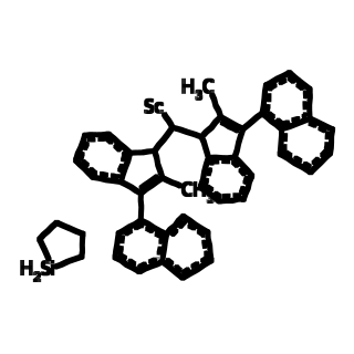 C1CC[SiH2]C1.CC1=C(c2cccc3ccccc23)c2ccccc2C1[CH]([Sc])C1C(C)=C(c2cccc3ccccc23)c2ccccc21